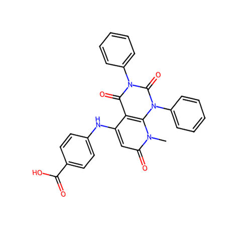 Cn1c(=O)cc(Nc2ccc(C(=O)O)cc2)c2c(=O)n(-c3ccccc3)c(=O)n(-c3ccccc3)c21